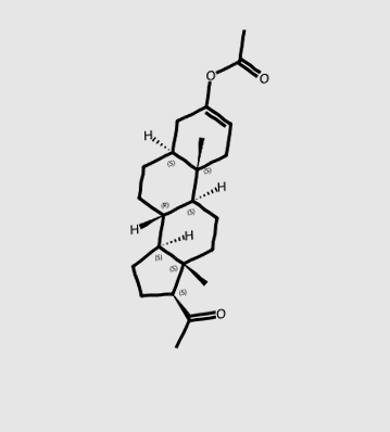 CC(=O)OC1=CC[C@@]2(C)[C@@H](CC[C@@H]3[C@@H]2CC[C@]2(C)[C@@H](C(C)=O)CC[C@@H]32)C1